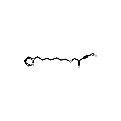 CC#CC(=O)COCCCCCCCn1ccnn1